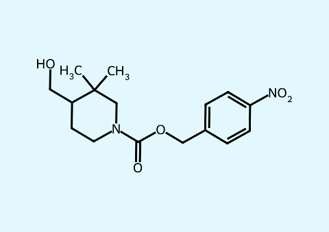 CC1(C)CN(C(=O)OCc2ccc([N+](=O)[O-])cc2)CCC1CO